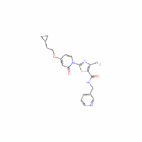 Cc1nc(-n2ccc(OCCC3CC3)cc2=O)sc1C(=O)NCc1cccnc1